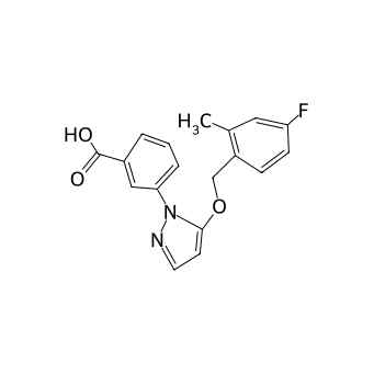 Cc1cc(F)ccc1COc1ccnn1-c1cccc(C(=O)O)c1